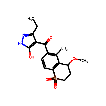 CCc1n[nH]c(O)c1C(=O)c1ccc2c(c1C)C(OC)CCS2(=O)=O